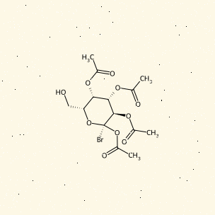 CC(=O)O[C@@H]1[C@H](OC(C)=O)[C@@H](OC(C)=O)[C@@](Br)(OC(C)=O)O[C@@H]1CO